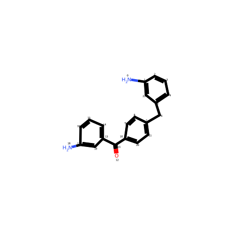 Nc1cccc(Cc2ccc(C(=O)c3cccc(N)c3)cc2)c1